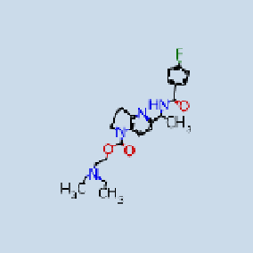 CCN(CC)CCOC(=O)N1CCCc2nc(C(C)NC(=O)c3ccc(F)cc3)ccc21